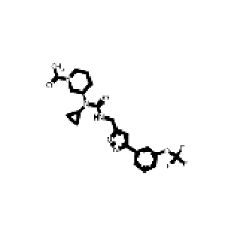 CC(=O)N1CCC[C@@H](N(C(=O)NCc2cc(-c3cccc(OC(F)(F)F)c3)no2)C2CC2)C1